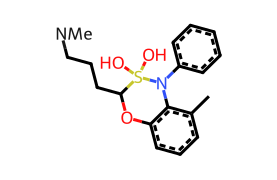 CNCCCC1Oc2cccc(C)c2N(c2ccccc2)S1(O)O